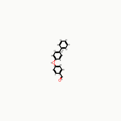 O=Cc1ccc(Oc2ccc(-c3ccccc3)cc2)cc1